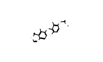 CC(C)(C)OC(=O)Nc1ccc(F)c(Oc2ccc3nc[nH]c(=O)c3c2F)c1Cl